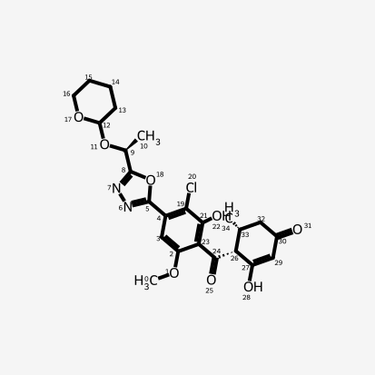 COc1cc(-c2nnc([C@H](C)OC3CCCCO3)o2)c(Cl)c(O)c1C(=O)[C@H]1C(O)=CC(=O)C[C@H]1C